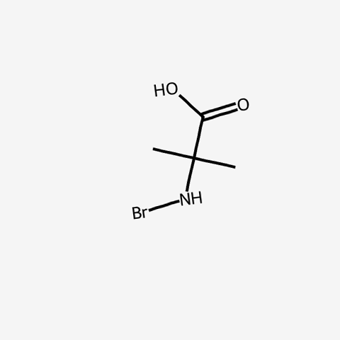 CC(C)(NBr)C(=O)O